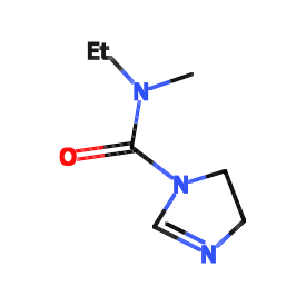 CCN(C)C(=O)N1C=NCC1